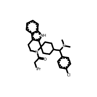 CC(C)CC(=O)N1CCc2c([nH]c3ccccc23)C12CCC(C(c1ccc(Cl)cc1)N(C)C)CC2